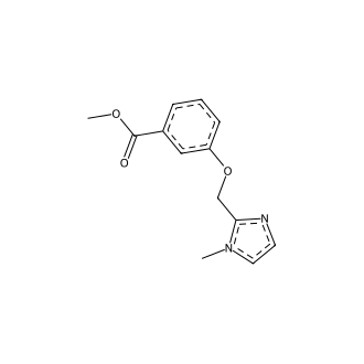 COC(=O)c1cccc(OCc2nccn2C)c1